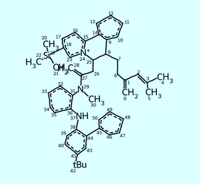 C=C(C=C(C)C)CCC1c2ccccc2-c2ccc([Si](C)(C)C)c[n+]2C1CC(=C)N(C)c1ccccc1Nc1ccc(C(C)(C)C)cc1-c1ccccc1